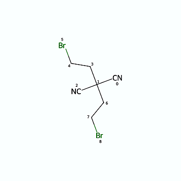 N#CC(C#N)(CCBr)CCBr